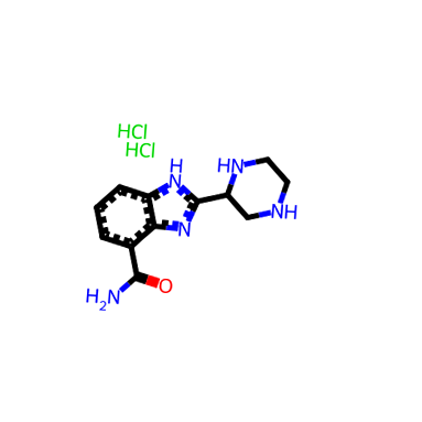 Cl.Cl.NC(=O)c1cccc2[nH]c(C3CNCCN3)nc12